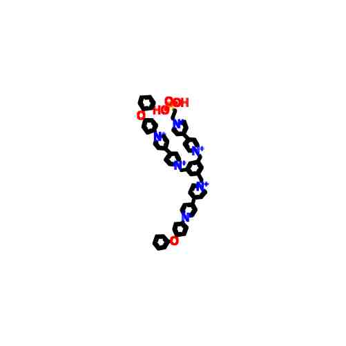 O=P(O)(O)CC[n+]1ccc(-c2cc[n+](Cc3cc(C[n+]4ccc(-c5cc[n+](-c6ccc(Oc7ccccc7)cc6)cc5)cc4)cc(C[n+]4ccc(-c5cc[n+](-c6ccc(Oc7ccccc7)cc6)cc5)cc4)c3)cc2)cc1